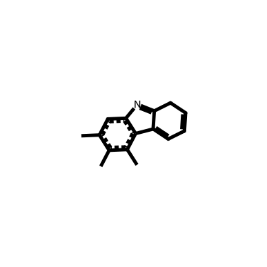 Cc1cc2c(c(C)c1C)C1=CC=CCC1=N2